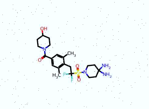 Cc1cc(C(=O)N2CCC(O)CC2)cc(C)c1CC(F)(F)S(=O)(=O)N1CCC(N)(N)CC1